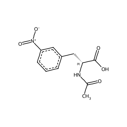 CC(=O)N[C@H](Cc1cccc([N+](=O)[O-])c1)C(=O)O